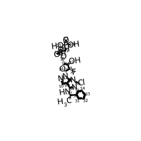 C[C@@H](Nc1nc(Cl)nc2c1cnn2[C@@H]1O[C@H](COP(=O)(O)CP(=O)(O)O)[C@@H](O)[C@@H]1F)c1ccccc1